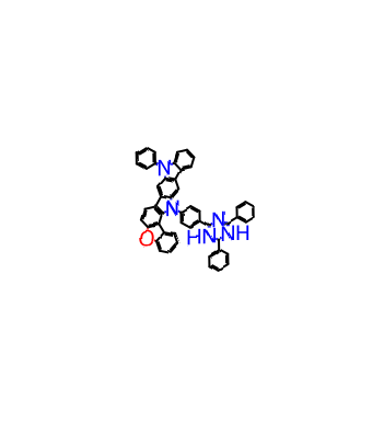 c1ccc(C2=NC(c3ccc(-n4c5cc6c7ccccc7n(-c7ccccc7)c6cc5c5ccc6oc7ccccc7c6c54)cc3)NC(c3ccccc3)N2)cc1